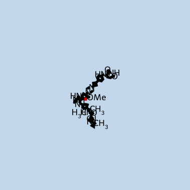 COc1cc2c(cc1N1CCN(C3CC(c4ccc(N[C@H]5CCC(=O)NC5=O)cc4)C3)CC1)[nH]c1ncnc(-c3cc(C)c([C@@H](C)NC(=O)c4nc(C5(C)CC5)no4)cc3F)c12